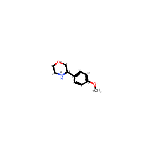 COc1ccc(C2COC[CH]N2)cc1